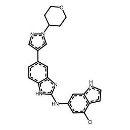 Clc1cc(Nc2nc3cc(-c4cnn(C5CCOCC5)c4)ccc3[nH]2)cc2[nH]ccc12